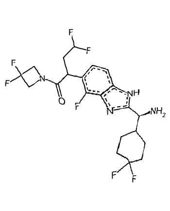 N[C@H](c1nc2c(F)c(C(CC(F)F)C(=O)N3CC(F)(F)C3)ccc2[nH]1)C1CCC(F)(F)CC1